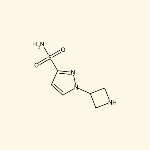 NS(=O)(=O)c1ccn(C2CNC2)n1